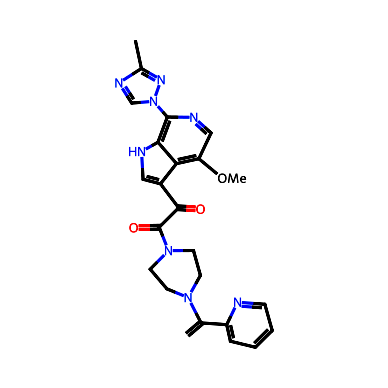 C=C(c1ccccn1)N1CCN(C(=O)C(=O)c2c[nH]c3c(-n4cnc(C)n4)ncc(OC)c23)CC1